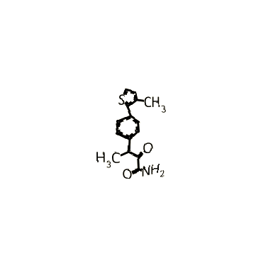 Cc1ccsc1-c1ccc(C(C)C(=O)C(N)=O)cc1